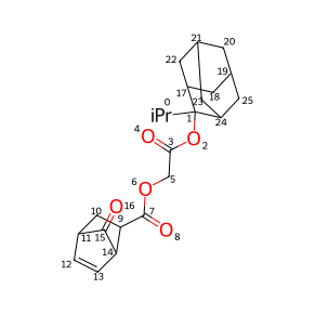 CC(C)C1(OC(=O)COC(=O)C2CC3C=CC2C3=O)C2CC3CC(C2)CC1C3